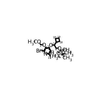 COCOc1c(OC(CO[Si](C)(C)C(C)(C)C)C2CCC2)cc(I)nc1Br